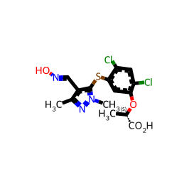 Cc1nn(C)c(Sc2cc(O[C@@H](C)C(=O)O)c(Cl)cc2Cl)c1C=NO